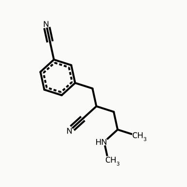 CNC(C)CC(C#N)Cc1cccc(C#N)c1